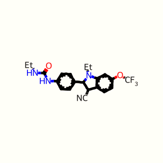 CCNC(=O)Nc1ccc(C2C(C#N)c3ccc(OC(F)(F)F)cc3N2CC)cc1